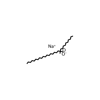 CCCCCCCCCCCCCCCCCCC(C)(CCCCCCCCCC)C(=O)[O-].[Na+]